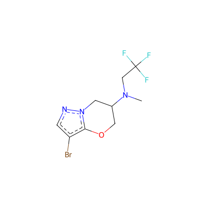 CN(CC(F)(F)F)C1COc2c(Br)cnn2C1